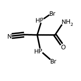 N#CC(PBr)(PBr)C(N)=O